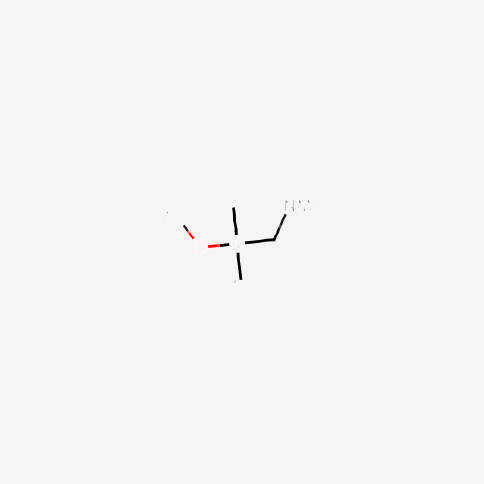 CNC[Si](C)(C)OC(C)=O